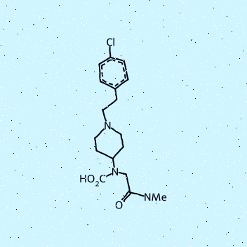 CNC(=O)CN(C(=O)O)C1CCN(CCc2ccc(Cl)cc2)CC1